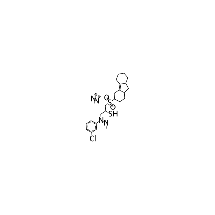 C#N.C#N.C=NN(CC(S)CS(=O)(=O)C1CCC2CC3CCCCC3=C2C1)c1cccc(Cl)c1